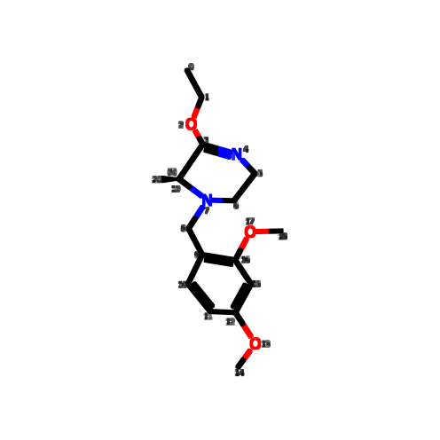 CCOC1=NCCN(Cc2ccc(OC)cc2OC)[C@H]1C